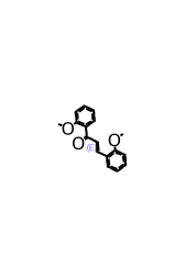 COc1ccccc1/C=C/C(=O)c1ccccc1OC